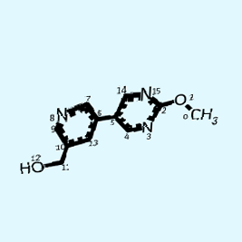 COc1ncc(-c2cncc(CO)c2)cn1